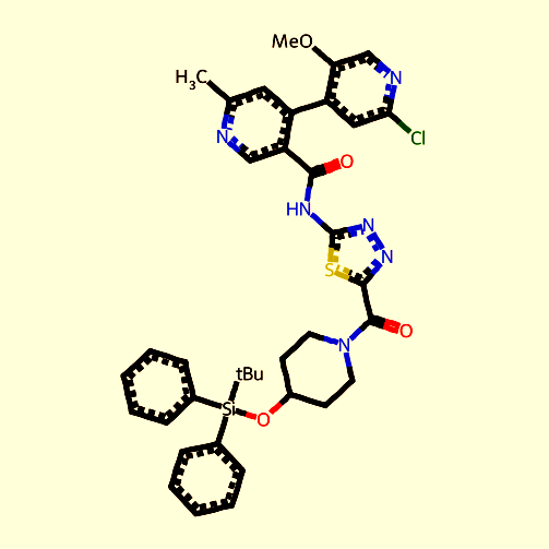 COc1cnc(Cl)cc1-c1cc(C)ncc1C(=O)Nc1nnc(C(=O)N2CCC(O[Si](c3ccccc3)(c3ccccc3)C(C)(C)C)CC2)s1